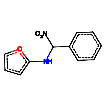 O=[N+]([O-])C(Nc1ccco1)c1ccccc1